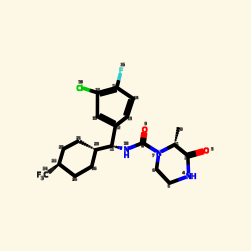 C[C@@H]1C(=O)NCCN1C(=O)N[C@@H](c1ccc(F)c(Cl)c1)[C@H]1CC[C@H](C(F)(F)F)CC1